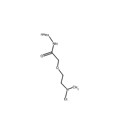 CCCCCCNC(=O)COCCN(C)CC